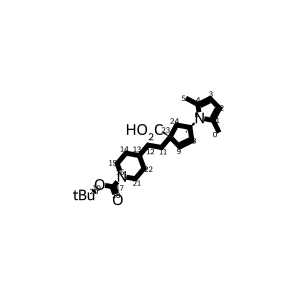 Cc1ccc(C)n1[C@@H]1C=C[C@](CCC2CCN(C(=O)OC(C)(C)C)CC2)(C(=O)O)C1